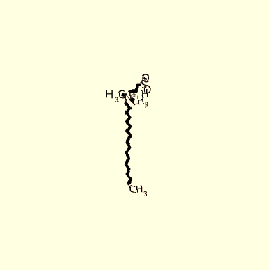 CCCCCCCCCCCCCCCCCC[N+](C)(C)CCC[SH](=O)=O